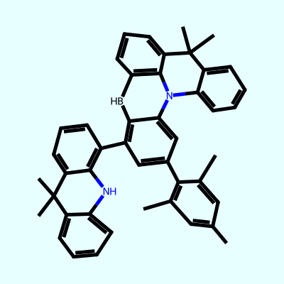 Cc1cc(C)c(-c2cc(-c3cccc4c3Nc3ccccc3C4(C)C)c3c(c2)N2c4ccccc4C(C)(C)c4cccc(c42)B3)c(C)c1